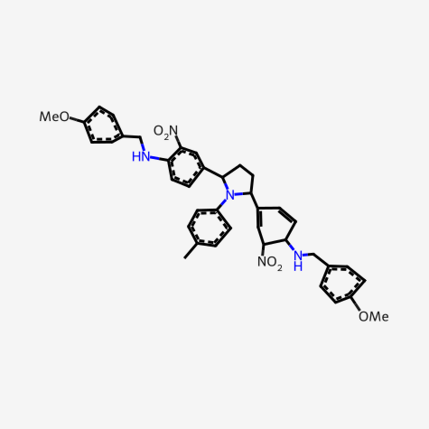 COc1ccc(CNc2ccc(C3CCC(C4=CC([N+](=O)[O-])C(NCc5ccc(OC)cc5)C=C4)N3c3ccc(C)cc3)cc2[N+](=O)[O-])cc1